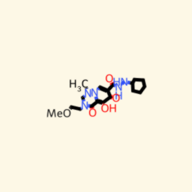 COCCN1CN(C)n2cc(C(=O)NNC3CCCCC3)c(=O)c(O)c2C1=O